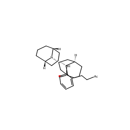 CC(=O)CCc1ccccc1N[C@H]1C[C@H]2CCC[C@@H](C1)N2[C@H]1C[C@@H]2CCC[C@@H](C2)C1